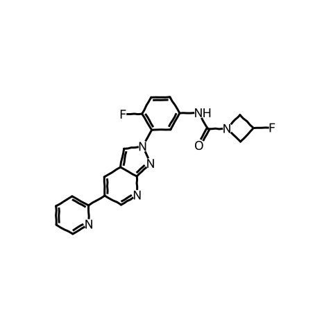 O=C(Nc1ccc(F)c(-n2cc3cc(-c4ccccn4)cnc3n2)c1)N1CC(F)C1